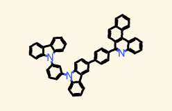 c1cc(-n2c3ccccc3c3ccccc32)cc(-n2c3ccccc3c3cc(-c4ccc(-c5nc6ccccc6c6c5ccc5ccccc56)cc4)ccc32)c1